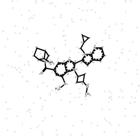 COc1cc(C(=O)N2CC3CCC2C3N)cc2nc(-c3cc4cccnc4n3CC3CC3)n(C3CC(OC)C3)c12